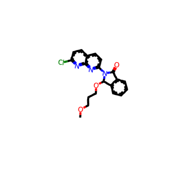 COCCCOC1c2ccccc2C(=O)N1c1ccc2ccc(Cl)nc2n1